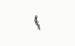 CCCOCC/N=c1\ccc2cc3ccc(N4CCOCC4)cc3oc-2c1